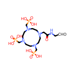 O=CCNC(=O)CN1CCN(CP(=O)(O)O)CCN(CP(=O)(O)O)CCN(CP(=O)(O)O)CC1